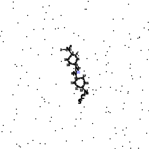 CN(C)c1ccc(/N=N/c2ccc(N=C=S)cc2)cc1